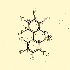 Fc1c(F)c(F)c(-c2c(F)c(F)c(F)c(F)c2F)c(F)c1F.[B]